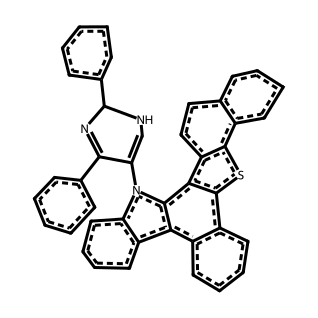 C1=C(n2c3ccccc3c3c4ccccc4c4sc5c6ccccc6ccc5c4c32)C(c2ccccc2)=NC(c2ccccc2)N1